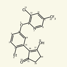 CCc1ccc(Oc2ncc(C(F)(F)F)cc2Cl)cc1C1=C(O)CCC1=O